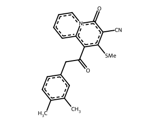 CSc1c(C#N)c(=O)n2ccccc2c1C(=O)Cc1ccc(C)c(C)c1